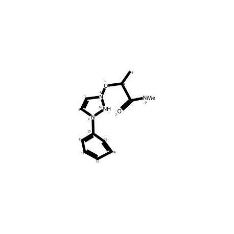 CNC(=O)C(C)ON1C=CN(c2ccccc2)N1